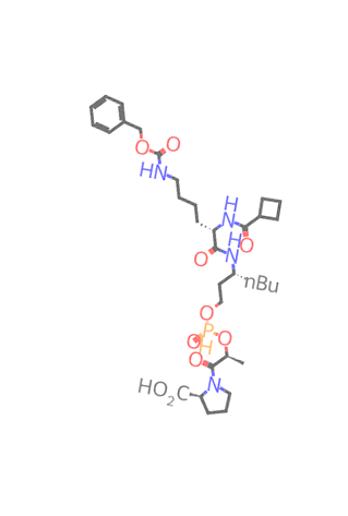 CCCC[C@H](CCO[PH](=O)O[C@@H](C)C(=O)N1CCC[C@H]1C(=O)O)NC(=O)[C@H](CCCCNC(=O)OCc1ccccc1)NC(=O)C1CCC1